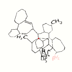 BC1CCCCC(C2C3CC(C)CCC3C(C3C=C4CCC=CC4C4CCCCCC4=C3)C3C(C)CCC(C)CC32)C1(C)C1CCCCC12CC2